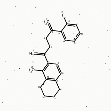 C=C(CCC(=C)c1ccc2c(c1C)CCCC2)c1ccccc1F